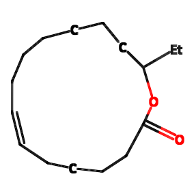 CCC1CCCCCCC=CCCCCC(=O)O1